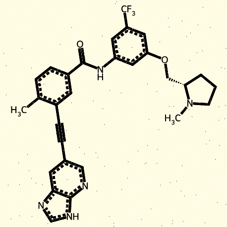 Cc1ccc(C(=O)Nc2cc(OC[C@@H]3CCCN3C)cc(C(F)(F)F)c2)cc1C#Cc1cnc2[nH]cnc2c1